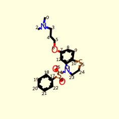 CN(C)CCCOc1ccc2c(c1)N(S(=O)(=O)c1ccccc1)CCS2